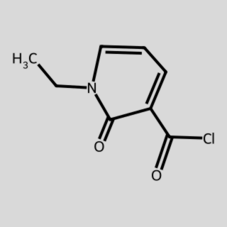 CCn1cccc(C(=O)Cl)c1=O